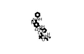 CNC(C)C(=O)NC(C(=O)N1CCCC1C(=O)Nc1cc2c(NC3CCCCC3)ncnc2cc1OC)C(C)(C)C